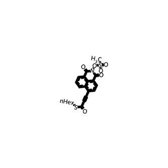 CCCCCCSC(=O)C#Cc1ccc2c3c(cccc13)C(=O)N(OS(C)(=O)=O)C2=O